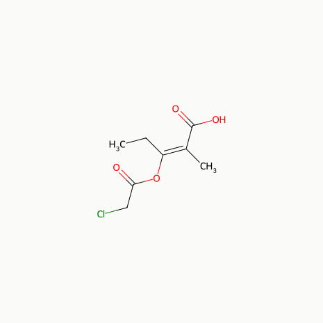 CC/C(OC(=O)CCl)=C(/C)C(=O)O